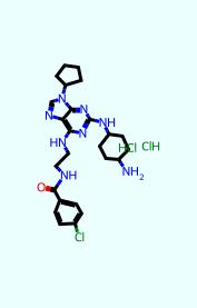 Cl.Cl.NC1CCC(Nc2nc(NCCNC(=O)c3ccc(Cl)cc3)c3ncn(C4CCCC4)c3n2)CC1